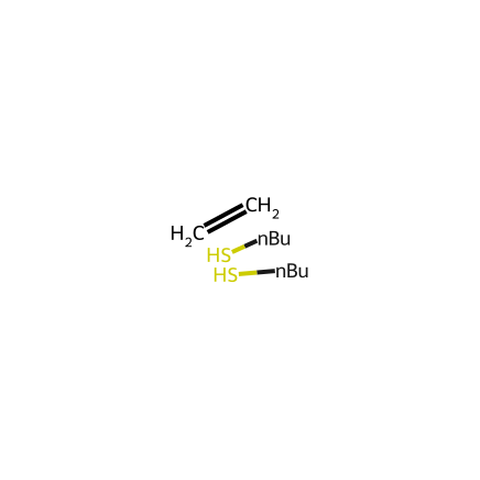 C=C.CCCCS.CCCCS